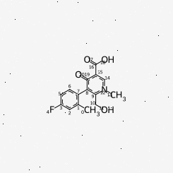 Cc1cc(F)ccc1-c1c(CO)n(C)cc(C(=O)O)c1=O